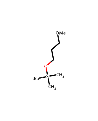 COCCCO[Si](C)(C)C(C)(C)C